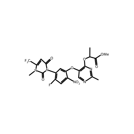 COC(=O)C(C)Oc1nc(C)ncc1Oc1cc(-n2c(=O)cc(C(F)(F)F)n(C)c2=O)c(F)cc1[N+](=O)[O-]